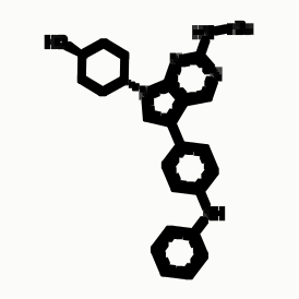 CCCCNc1ncc2c(-c3ccc(Nc4ccccc4)cc3)cn([C@H]3CC[C@H](O)CC3)c2n1